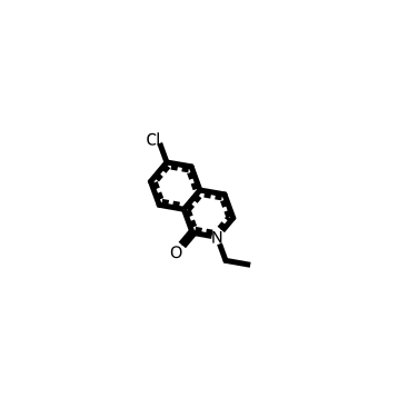 CCn1ccc2cc(Cl)ccc2c1=O